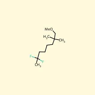 COCC(C)(C)CCCCC(C)(F)F